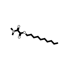 CCCCCCCCCCOC(=O)C(=O)N(C)C